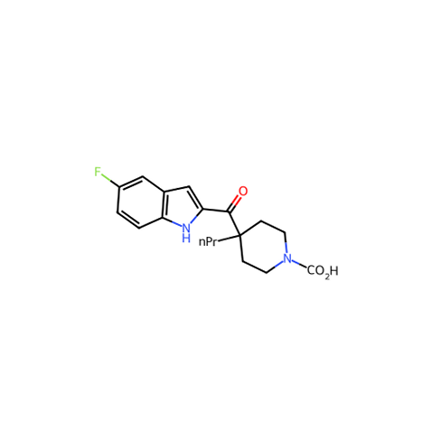 CCCC1(C(=O)c2cc3cc(F)ccc3[nH]2)CCN(C(=O)O)CC1